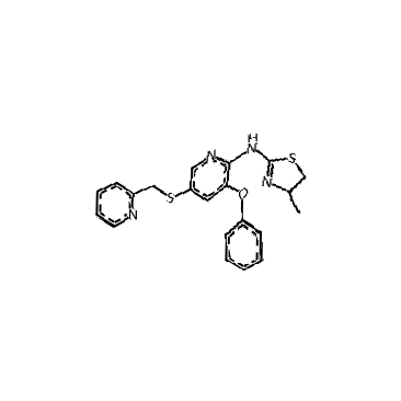 CC1CSC(Nc2ncc(SCc3ccccn3)cc2Oc2ccccc2)=N1